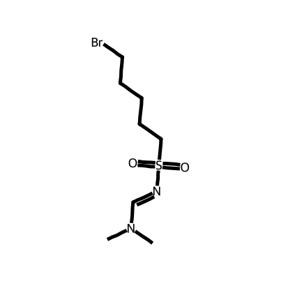 CN(C)/C=N/S(=O)(=O)CCCCCBr